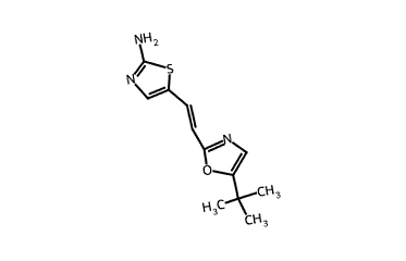 CC(C)(C)c1cnc(C=Cc2cnc(N)s2)o1